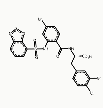 O=C(N[C@@H](Cc1ccc(Cl)c(Br)c1)C(=O)O)c1ccc(Br)cc1NS(=O)(=O)c1cccc2nsnc12